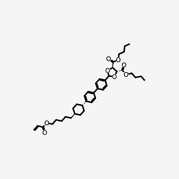 C=CC(=O)OCCCCC[C@H]1CC[C@H](c2ccc(-c3ccc(C4O[C@@H](C(=O)OCCCC)[C@H](C(=O)OCCCC)O4)cc3)cc2)CC1